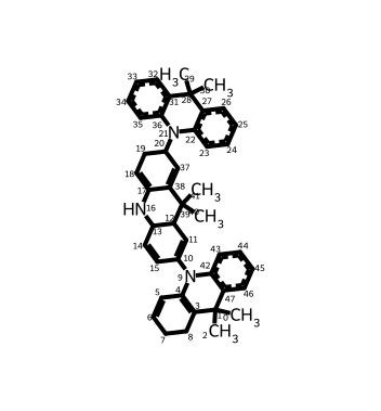 CC1(C)C2=C(C=CCC2)N(C2=CC3C(C=C2)NC2=CCC(N4c5ccccc5C(C)(C)c5ccccc54)C=C2C3(C)C)c2ccccc21